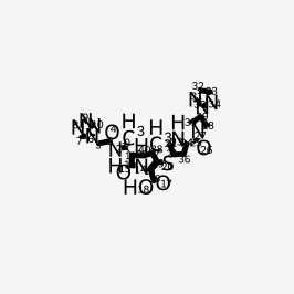 CC(NC(=O)Cn1cnnn1)[C@H]1C(=O)N2C(C(=O)O)=C(S[C@@H]3CN[C@H](C(=O)N4CC(n5nccn5)C4)C3)[C@H](C)[C@H]12